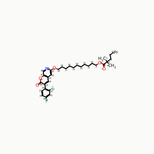 CC(C)CCC(C)(C)C(=O)OCCCCCCCCCCCOc1cc2cc(-c3ccc(F)cc3F)c(=O)oc2cn1